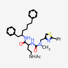 CC(=O)NCCC(NC(=O)N(C)Cc1csc(C(C)C)n1)C(=O)NC(CC[CH]Cc1ccccc1)Cc1ccccc1